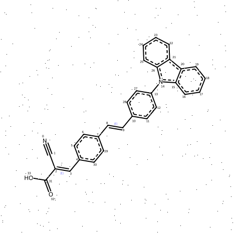 N#C/C(=C\c1ccc(/C=C/c2ccc(-n3c4ccccc4c4ccccc43)cc2)cc1)C(=O)O